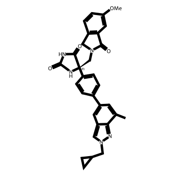 COc1ccc2c(c1)C(=O)N(C[C@@]1(c3ccc(-c4cc(C)c5nn(CC6CC6)cc5c4)cc3)NC(=O)NC1=O)C2